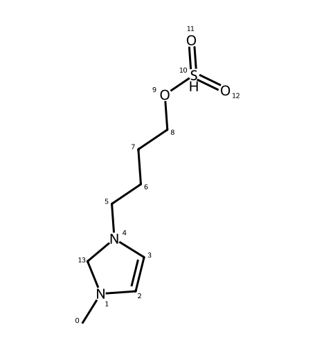 CN1C=CN(CCCCO[SH](=O)=O)C1